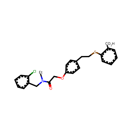 CCN(Cc1ccccc1Cl)C(=O)COc1ccc(CCSc2ccccc2C(=O)O)cc1